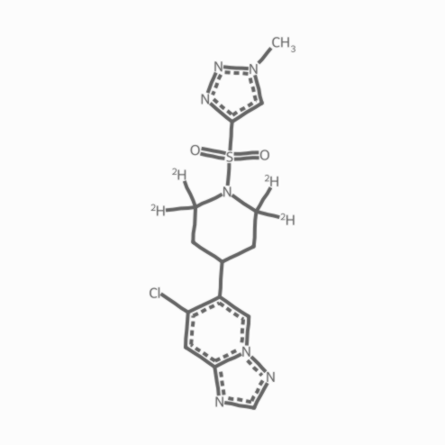 [2H]C1([2H])CC(c2cn3ncnc3cc2Cl)CC([2H])([2H])N1S(=O)(=O)c1cn(C)nn1